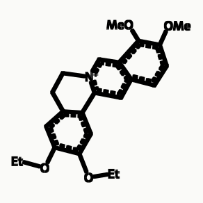 CCOc1cc2c(cc1OCC)-c1cc3ccc(OC)c(OC)c3c[n+]1CC2